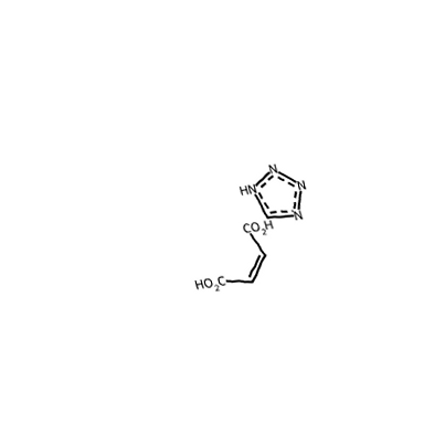 O=C(O)/C=C\C(=O)O.c1nnn[nH]1